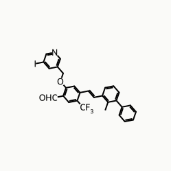 Cc1c(/C=C/c2cc(OCc3cncc(I)c3)c(C=O)cc2C(F)(F)F)cccc1-c1ccccc1